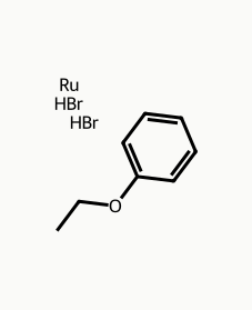 Br.Br.CCOc1ccccc1.[Ru]